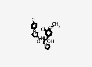 C=COc1ccc(C(O)C(CN2CCCC2)NC(=O)[C@@H]2CCN(c3ccc(Cl)cc3)C2)cc1Cl